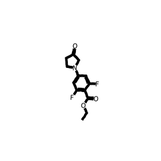 CCOC(=O)c1c(F)cc(N2CCC(=O)C2)cc1F